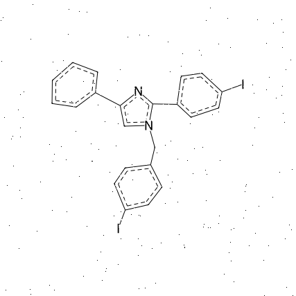 Ic1ccc(Cn2cc(-c3ccccc3)nc2-c2ccc(I)cc2)cc1